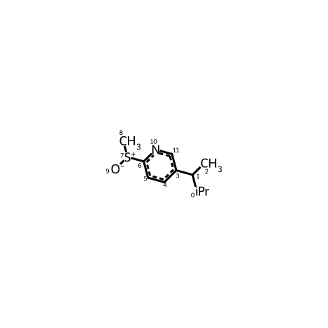 CC(C)C(C)c1ccc([S+](C)[O-])nc1